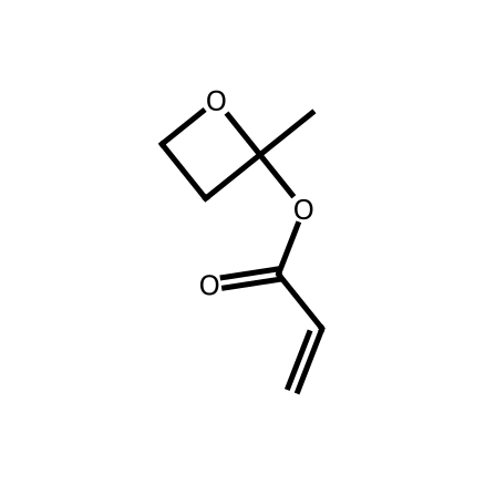 C=CC(=O)OC1(C)CCO1